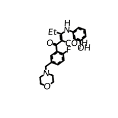 CCC(Nc1cccc(O)c1)=C(C(=O)O)C(=O)c1cc(CN2CCOCC2)ccc1F